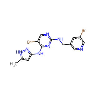 Cc1cc(Nc2nc(NCc3cncc(Br)c3)ncc2Br)n[nH]1